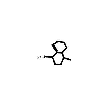 [CH2]CCC(C)C1CCC(C)C2CCCC=C21